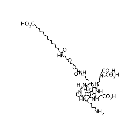 CN1CCC[C@H]1C(=O)N[C@@H](CCCCN)C(=O)N[C@@H](CCC(=O)O)C(=O)N[C@@H](CCCCN(CC(=O)O)CC(=O)O)C(=O)N[C@@H](CCCCNC(=O)COCCOCCNC(=O)CCCCCCCCCCCCCCC(=O)O)C(N)=O